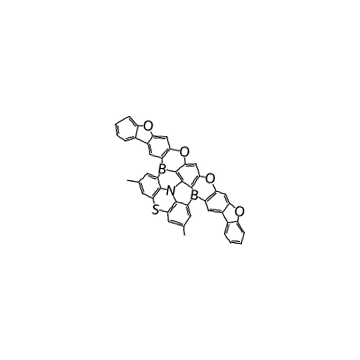 Cc1cc2c3c(c1)B1c4cc5c(cc4Oc4cc6c7c(c41)N3c1c(cc(C)cc1B7c1cc3c(cc1O6)oc1ccccc13)S2)oc1ccccc15